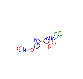 COc1cc(-c2cnc3cc(OCCN4CCOCC4)ccn23)cnc1C(=O)NCC(F)(F)F